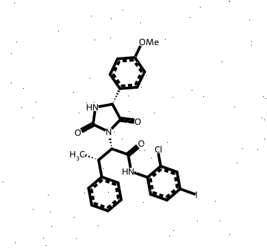 COc1ccc([C@H]2NC(=O)N([C@H](C(=O)Nc3ccc(I)cc3Cl)[C@@H](C)c3ccccc3)C2=O)cc1